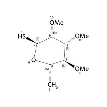 CO[C@@H]1[C@@H](OC)[C@H](C)O[C@@H](S)[C@@H]1OC